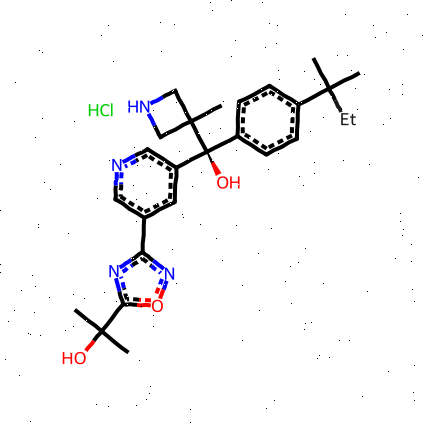 CCC(C)(C)c1ccc([C@](O)(c2cncc(-c3noc(C(C)(C)O)n3)c2)C2(C)CNC2)cc1.Cl